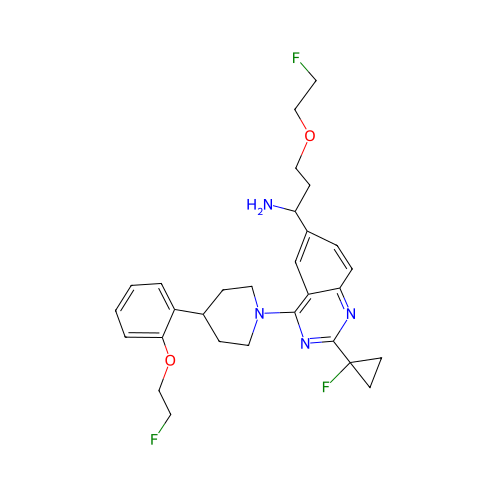 NC(CCOCCF)c1ccc2nc(C3(F)CC3)nc(N3CCC(c4ccccc4OCCF)CC3)c2c1